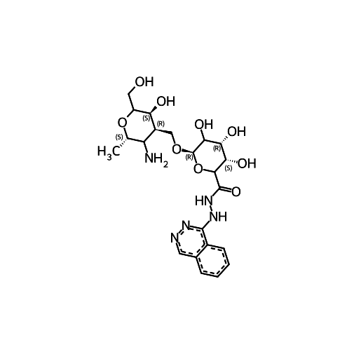 C[C@@H]1OC(CO)[C@@H](O)[C@@H](CO[C@@H]2OC(C(=O)NNc3nncc4ccccc34)[C@@H](O)[C@@H](O)C2O)C1N